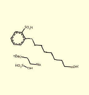 CCCCCCCCCCCCCCCCCCc1ccccc1S(=O)(=O)O.CCCCCCCCCCC[CH2][Na].O=S(=O)(O)O